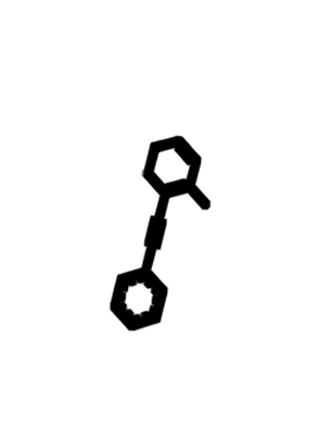 CC1=C(C#Cc2ccccc2)[CH]CC=C1